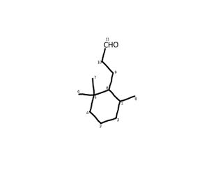 CC1CCCC(C)(C)C1CCC=O